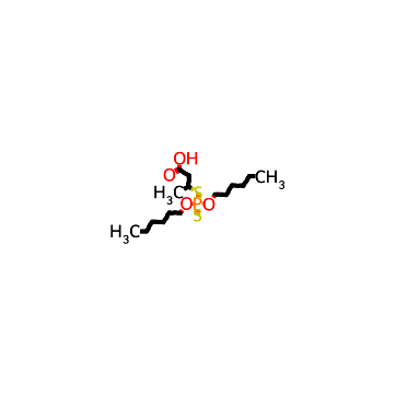 CCCCCCOP(=S)(OCCCCCC)SC(C)CC(=O)O